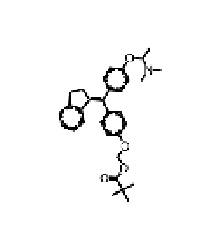 CC(Oc1ccc(C(=C2CCc3ccccc32)c2ccc(OCOC(=O)C(C)(C)C)cc2)cc1)N(C)C